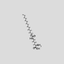 CCCCCCCCCCCCCCOC(=O)NCCCC[C@H](N)C(=O)O